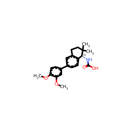 COc1ccc(-c2ccc3c(c2)CCC(C)(C)[C@@H]3NC(=O)O)cc1OC